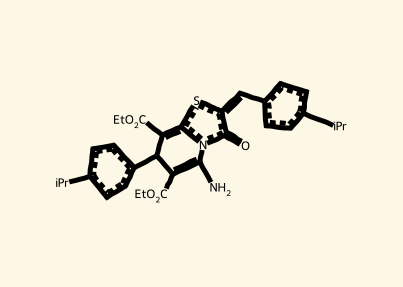 CCOC(=O)C1=C(N)n2c(sc(=Cc3ccc(C(C)C)cc3)c2=O)=C(C(=O)OCC)C1c1ccc(C(C)C)cc1